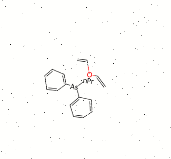 C=COC=C.CCC[As](c1ccccc1)c1ccccc1